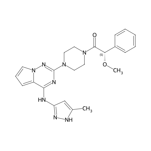 CO[C@H](C(=O)N1CCN(c2nc(Nc3cc(C)[nH]n3)c3cccn3n2)CC1)c1ccccc1